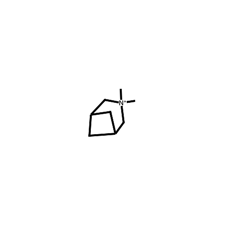 C[N+]1(C)CC2CC(C2)C1